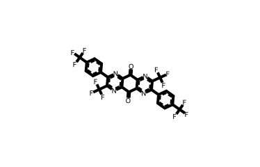 O=C1c2nc(-c3ccc(C(F)(F)F)cc3)c(C(F)(F)F)nc2C(=O)c2nc(-c3ccc(C(F)(F)F)cc3)c(C(F)(F)F)nc21